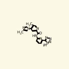 Cc1cn(-c2cc(C(=O)Nc3cccc(-c4nnnn4C(C)C)n3)ncc2C)cn1